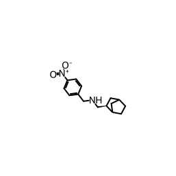 O=[N+]([O-])c1ccc(CNC[C@H]2CC3CCC2C3)cc1